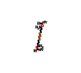 CCCC(CC)O[SiH2]CCCSSSSCCC[SiH2]OC(CC)CCC